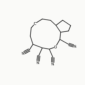 N#CC1CCCCCC2CCCC2C(C#N)OC(C#N)C1C#N